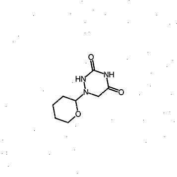 O=C1CN(C2CCCCO2)NC(=O)N1